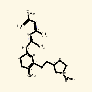 C=C(/C=C(C)\N=C(/N)NC1=CC(CCC2CCN(CCCCC)C2)=C(OC)CC1)NC